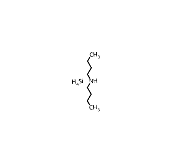 CCCCNCCCC.[SiH4]